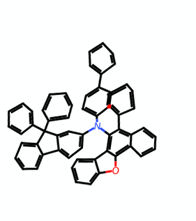 c1ccc(-c2ccc(N(c3ccc4c(c3)C(c3ccccc3)(c3ccccc3)c3ccccc3-4)c3c(-c4ccccc4)c4ccccc4c4oc5ccccc5c34)cc2)cc1